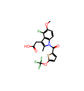 COc1ccc2c(c1F)c(CC(=O)O)c(C)n2C(=O)c1ccc(OC(F)(F)F)s1